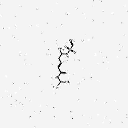 C=CS(=O)(=O)NC(C)C/C=C/C(=O)NC(C)C